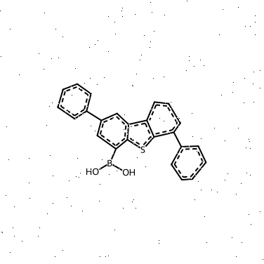 OB(O)c1cc(-c2ccccc2)cc2c1sc1c(-c3ccccc3)cccc12